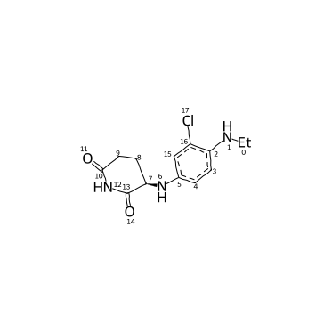 CCNc1ccc(N[C@@H]2CCC(=O)NC2=O)cc1Cl